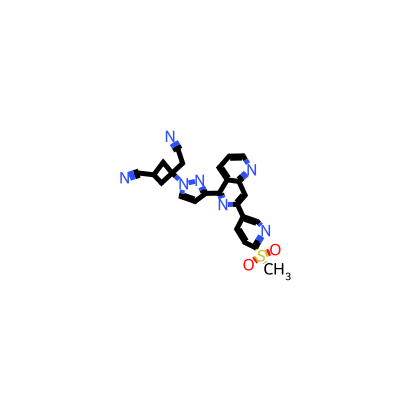 CS(=O)(=O)c1ccc(-c2cc3ncccc3c(-c3ccn(C4(CC#N)CC(C#N)C4)n3)n2)cn1